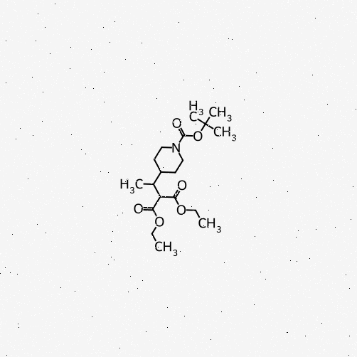 CCOC(=O)C(C(=O)OCC)C(C)C1CCN(C(=O)OC(C)(C)C)CC1